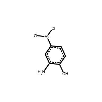 Nc1cc([As](Cl)Cl)ccc1O